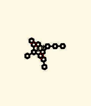 c1ccc(-c2ccc(-c3ccc4c(c3)c3cc(-c5ccc(-c6ccccc6)cc5)cc5c3n4-c3ccc(-c4ccccc4)cc3B5c3c(-c4ccccc4)cc(-c4ccccc4)cc3-c3ccccc3)cc2)cc1